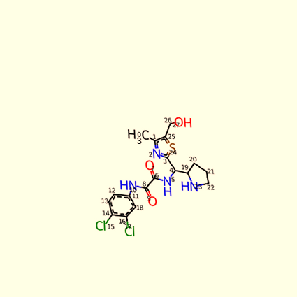 Cc1nc(C(NC(=O)C(=O)Nc2ccc(Cl)c(Cl)c2)C2CCCN2)sc1CO